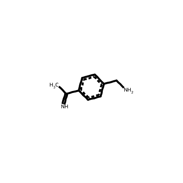 CC(=N)c1ccc(CN)cc1